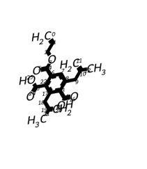 C=CCOC(=O)c1cc(CC(=C)C)c(C(=O)O)c(CC(=C)C)c1C(=O)O